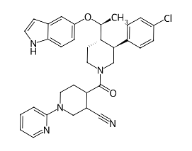 C[C@H](Oc1ccc2[nH]ccc2c1)[C@H]1CCN(C(=O)C2CCN(c3ccccn3)CC2C#N)C[C@@H]1c1ccc(Cl)cc1